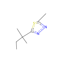 CCC(C)(C)c1nnc(C)s1